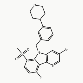 CS(=O)(=O)c1ccc(F)c2c3ncc(Br)cc3n(Cc3cccc(C4CCOCC4)c3)c12